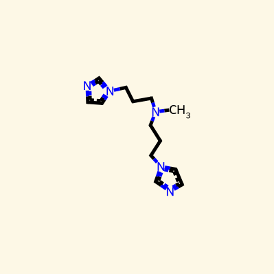 CN(CCCn1ccnc1)CCCn1ccnc1